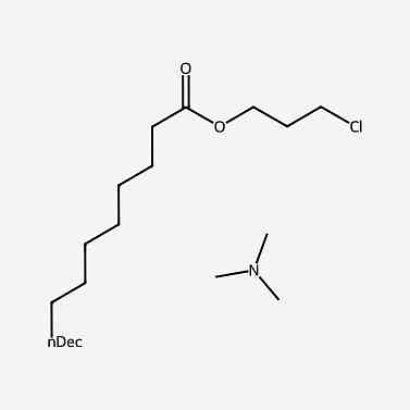 CCCCCCCCCCCCCCCCCC(=O)OCCCCl.CN(C)C